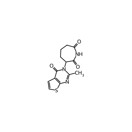 Cc1nc2sccc2c(=O)n1C1CCCC(=O)NC1=O